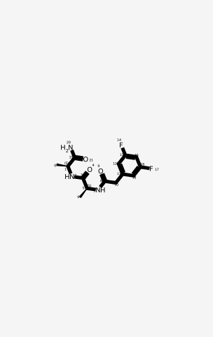 C[C@H](NC(=O)[C@H](C)NC(=O)Cc1cc(F)cc(F)c1)C(N)=O